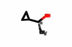 [CH2][C@@H](O)C1CC1